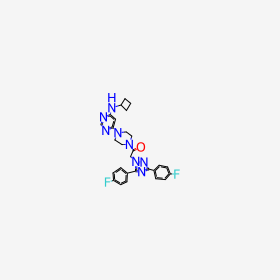 O=C(Cn1nc(-c2ccc(F)cc2)nc1-c1ccc(F)cc1)N1CCN(c2cc(NC3CCC3)ncn2)CC1